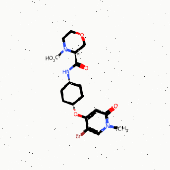 Cn1cc(Br)c(O[C@H]2CC[C@H](NC(=O)[C@@H]3COCCN3C(=O)O)CC2)cc1=O